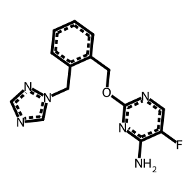 Nc1nc(OCc2ccccc2Cn2cncn2)ncc1F